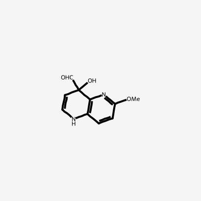 COc1ccc2c(n1)C(O)(C=O)C=CN2